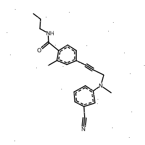 CCCNC(=O)c1ccc(C#CCN(C)c2cccc(C#N)c2)cc1C